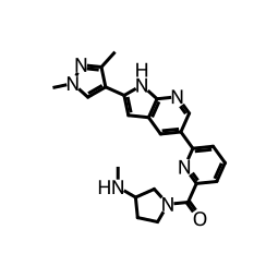 CNC1CCN(C(=O)c2cccc(-c3cnc4[nH]c(-c5cn(C)nc5C)cc4c3)n2)C1